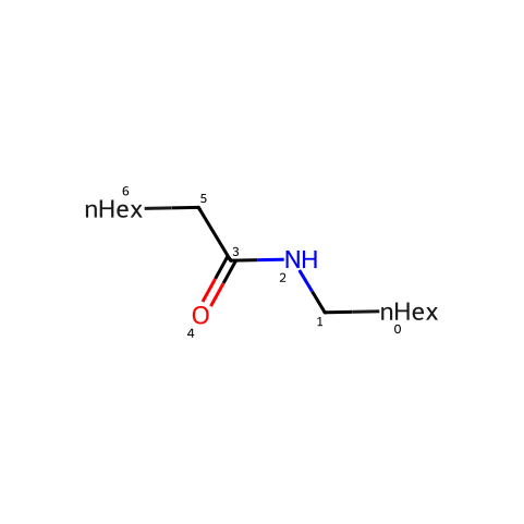 CCCCCCCNC(=O)CCCCCCC